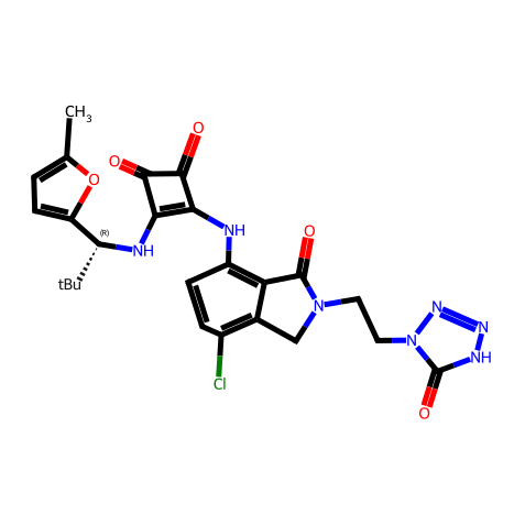 Cc1ccc([C@H](Nc2c(Nc3ccc(Cl)c4c3C(=O)N(CCn3nn[nH]c3=O)C4)c(=O)c2=O)C(C)(C)C)o1